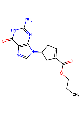 CCCOC(=O)C1=CC[C@H](n2cnc3c(=O)[nH]c(N)nc32)C1